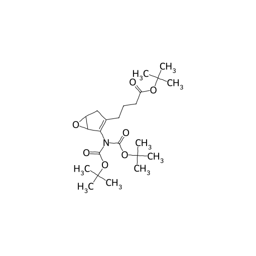 CC(C)(C)OC(=O)CCCC1=C(N(C(=O)OC(C)(C)C)C(=O)OC(C)(C)C)C2OC2C1